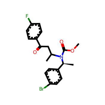 COC(=O)N(C(C)CC(=O)c1ccc(F)cc1)[C@@H](C)c1ccc(Br)cc1